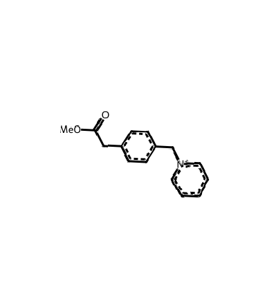 COC(=O)Cc1ccc(C[n+]2ccccc2)cc1